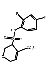 CCOC(=O)C1=CCOCC1S(=O)(=O)Nc1ccc(F)cc1F